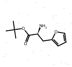 CC(C)(C)OC(=O)[C@@H](N)Cc1ccco1